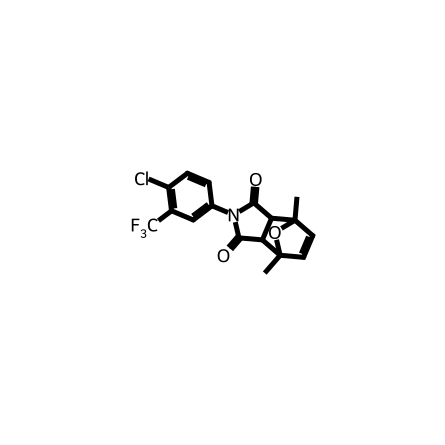 CC12C=CC(C)(O1)C1C(=O)N(c3ccc(Cl)c(C(F)(F)F)c3)C(=O)C12